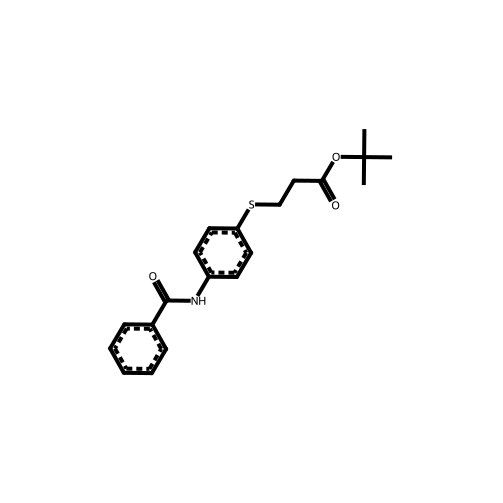 CC(C)(C)OC(=O)CCSc1ccc(NC(=O)c2ccccc2)cc1